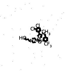 CN(Cc1ccc(C(F)(F)F)c(F)c1)C1CN(C(=O)N2CCN(CCCO)CC2)CC1c1ccc(Cl)c(Cl)c1